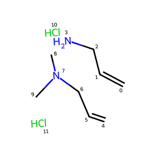 C=CCN.C=CCN(C)C.Cl.Cl